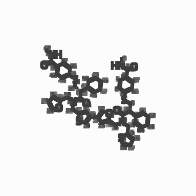 CNC(=O)c1ccc(SC[C@H](C(=O)N(Cc2cc(-c3csc(CN(Cc4ccco4)C(=O)[C@H](CSc4ccc(C(=O)NC)cc4)c4ccccc4)c3)co2)Cc2cccs2)c2ccccc2)cc1